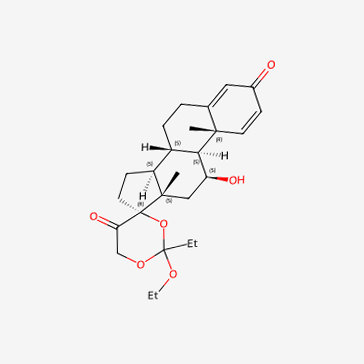 CCOC1(CC)OCC(=O)[C@]2(CC[C@H]3[C@@H]4CCC5=CC(=O)C=C[C@]5(C)[C@H]4[C@@H](O)C[C@@]32C)O1